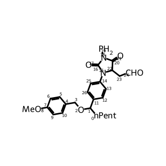 CCCCCC(OCc1ccc(OC)cc1)c1ccc(N2C(=O)N(P)C(=O)C2CC=O)cc1